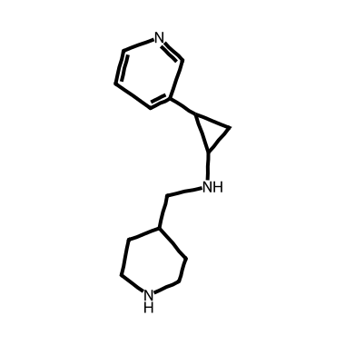 c1cncc(C2CC2NCC2CCNCC2)c1